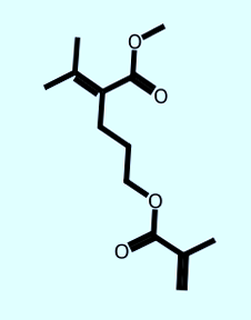 C=C(C)C(=O)OCCCC(C(=O)OC)=C(C)C